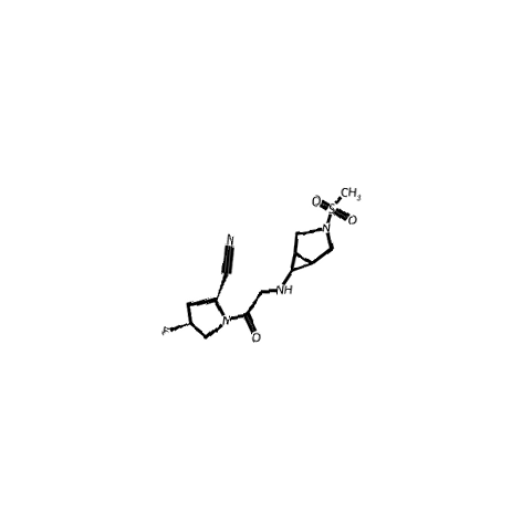 CS(=O)(=O)N1CC2C(C1)C2NCC(=O)N1C[C@@H](F)C[C@H]1C#N